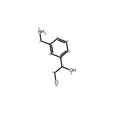 NCc1cccc(C(O)CCl)c1